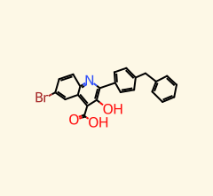 O=C(O)c1c(O)c(-c2ccc(Cc3ccccc3)cc2)nc2ccc(Br)cc12